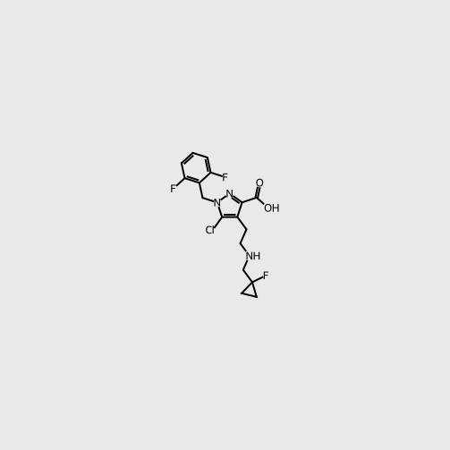 O=C(O)c1nn(Cc2c(F)cccc2F)c(Cl)c1CCNCC1(F)CC1